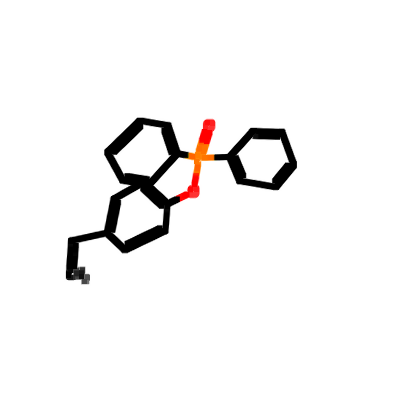 C=Cc1ccc(OP(=O)(c2ccccc2)c2ccccc2)cc1